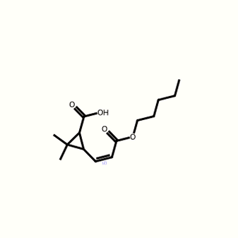 CCCCCOC(=O)/C=C\C1C(C(=O)O)C1(C)C